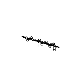 CCCCCNC(=O)CCC(=O)NCCCCCNC(=O)CCC(=O)NCCCCCNC(=O)CCC(=O)NCCCCC